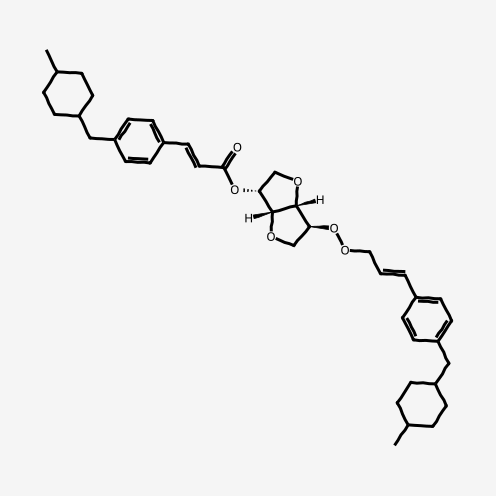 CC1CCC(Cc2ccc(C=CC(=O)O[C@@H]3CO[C@H]4[C@@H]3OC[C@@H]4OOC/C=C/c3ccc(CC4CCC(C)CC4)cc3)cc2)CC1